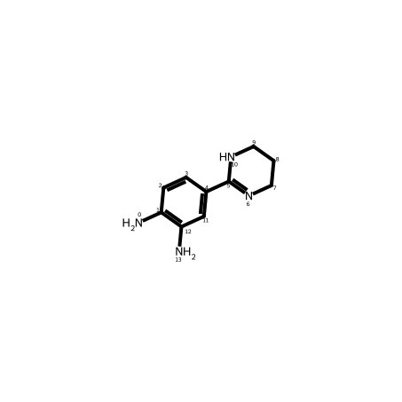 Nc1ccc(C2=NCCCN2)cc1N